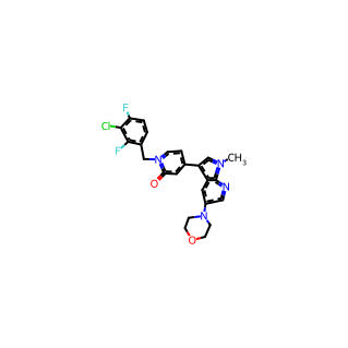 Cn1cc(-c2ccn(Cc3ccc(F)c(Cl)c3F)c(=O)c2)c2cc(N3CCOCC3)cnc21